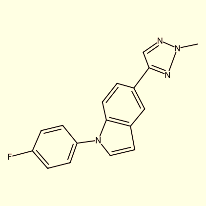 Cn1ncc(-c2ccc3c(ccn3-c3ccc(F)cc3)c2)n1